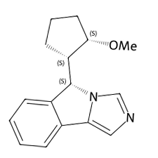 CO[C@H]1CCC[C@H]1[C@H]1c2ccccc2-c2cncn21